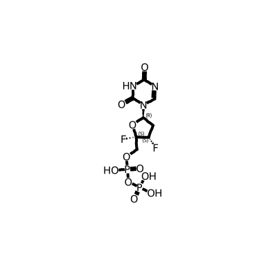 O=c1ncn([C@H]2C[C@H](F)[C@@](F)(COP(=O)(O)OP(=O)(O)O)O2)c(=O)[nH]1